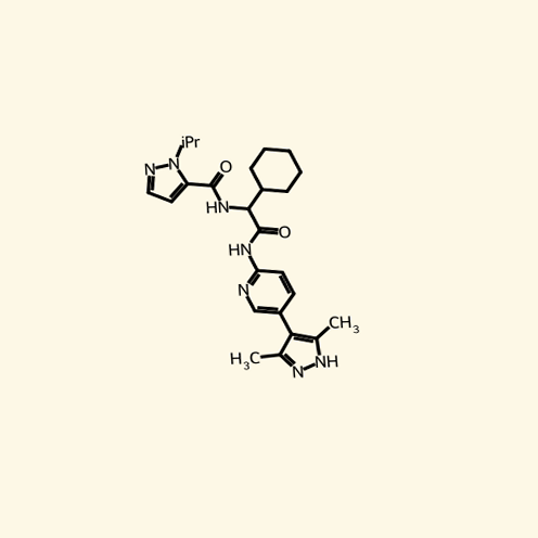 Cc1n[nH]c(C)c1-c1ccc(NC(=O)C(NC(=O)c2ccnn2C(C)C)C2CCCCC2)nc1